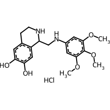 COc1cc(NCC2NCCc3cc(O)c(O)cc32)cc(OC)c1OC.Cl